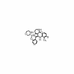 COc1c(F)cccc1Nc1c(-c2ccncc2OC[C@@H]2COCCN2)[nH]c2c1C(=O)NCC2